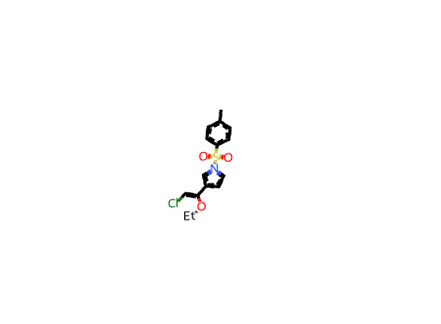 CCOC(=CCl)c1ccn(S(=O)(=O)c2ccc(C)cc2)c1